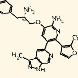 Cc1occc1-c1nc(N)c(OC[C@@H](N)Cc2ccccc2)cc1-c1cc2c(C)n[nH]c2cn1